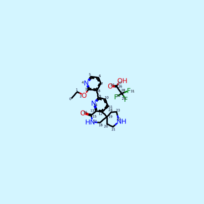 CCOc1ncccc1-c1ccc2c(n1)C(=O)NCC21CCNCC1.O=C(O)C(F)(F)F